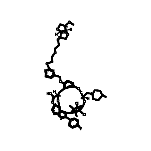 CO[C@@H]1CO[C@H]2[C@@H]1OC[C@H]2OCCOCCOc1nccc(COc2ccc3cc2C[C@H](C(=O)O)Oc2ncnc4sc(-c5ccc(F)cc5)c(c24)-c2c(C)c(Cl)c(c(Cl)c2C)O[C@H](CN2CCN(C)CC2)CO3)n1